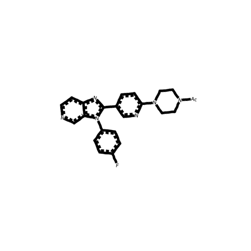 CC(=O)N1CCN(c2ccc(-c3nc4ccncc4n3-c3ccc(F)cc3)cn2)CC1